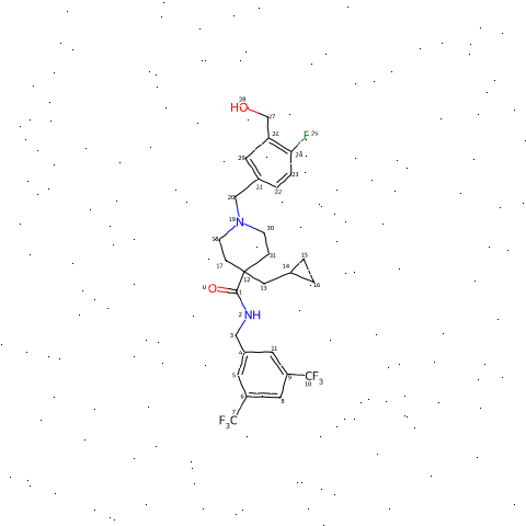 O=C(NCc1cc(C(F)(F)F)cc(C(F)(F)F)c1)C1(CC2CC2)CCN(Cc2ccc(F)c(CO)c2)CC1